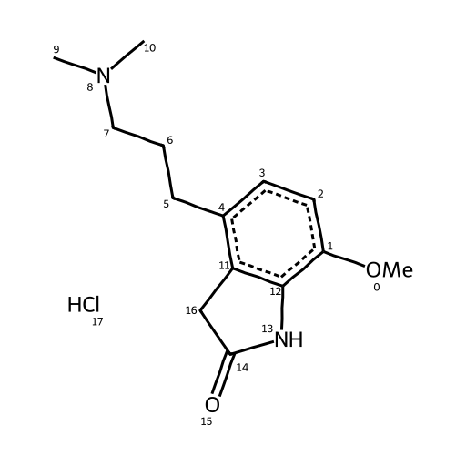 COc1ccc(CCCN(C)C)c2c1NC(=O)C2.Cl